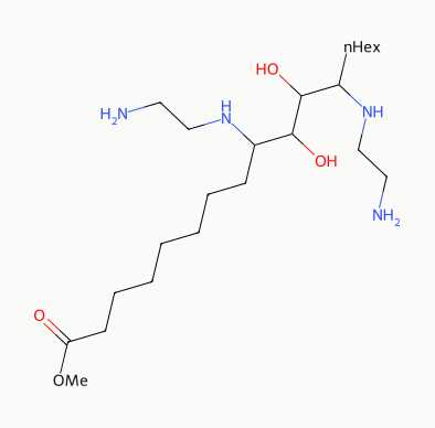 CCCCCCC(NCCN)C(O)C(O)C(CCCCCCCC(=O)OC)NCCN